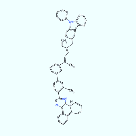 C=C/C(=C\C=C(/C)c1cccc(-c2ccc(C3=NC4C(=c5ccccc5=C5C=CC=C[C@@H]54)N=C3)c(C)c2)c1)Cc1ccc2c(c1)c1ccccc1n2-c1ccccc1